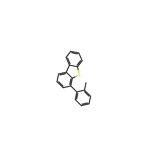 Cc1ccccc1-c1cccc2c1sc1ccccc12